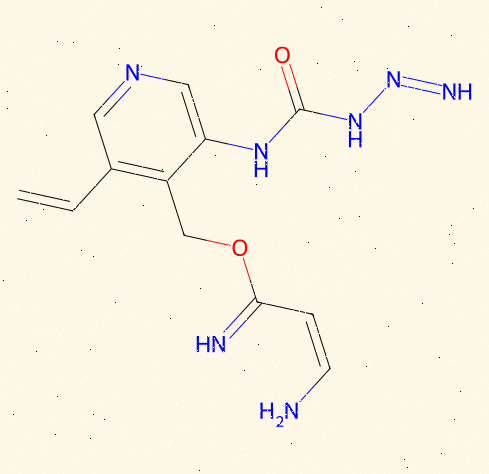 C=Cc1cncc(NC(=O)NN=N)c1COC(=N)/C=C\N